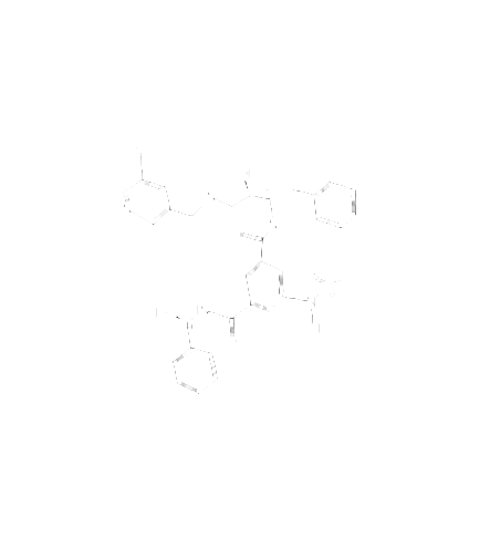 CC(C)COc1cncc(CNC[C@@H](O)[C@H](Cc2ccccc2)NC(=O)c2cc(C(=O)N[C@H](C)c3ccccc3)cc(N(C)S(C)(=O)=O)c2)c1